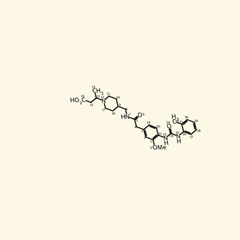 COc1cc(CC(=O)NCC2CCN(C(C)CC(=O)O)CC2)ccc1NC(=O)Nc1ccccc1C